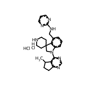 CC1CCc2ncnc(N3CC4(CCNCC4)c4c(CNc5ncccn5)cccc43)c21.Cl.Cl